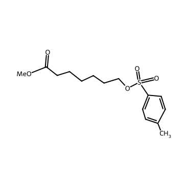 COC(=O)CCCCCCOS(=O)(=O)c1ccc(C)cc1